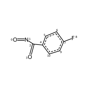 O=NC(=O)c1ccc(F)cc1